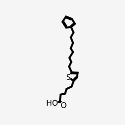 O=C(O)CCCCc1ccc(CCCCCCCCc2ccccc2)s1